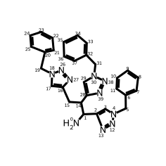 NC(c1cn(Cc2ccccc2)nn1)C(Cc1cn(Cc2ccccc2)nn1)c1cn(Cc2ccccc2)nn1